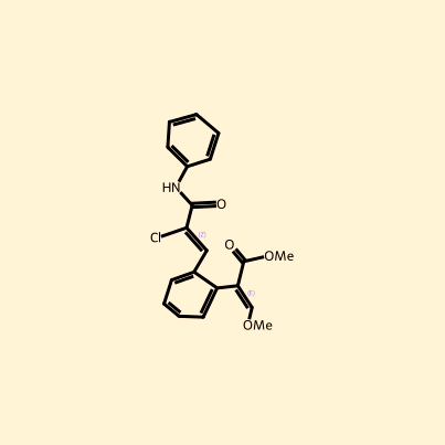 CO/C=C(/C(=O)OC)c1ccccc1/C=C(\Cl)C(=O)Nc1ccccc1